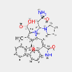 Cc1c(C(=O)c2ccccc2)c(C=C2C(=O)Nc3ccccc32)n(C(CC(N)=O)N2CCCC2)c1C(=O)O